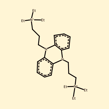 CC[N+](CC)(CC)CCCN1c2ccccc2N(CCC[N+](CC)(CC)CC)c2ccccc21